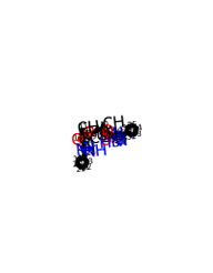 CCC(C)(CCOC(CC)(CC)C(=O)c1n[nH]c(-c2ccccc2)n1)OC(=O)c1nc(-c2ccccc2)n[nH]1